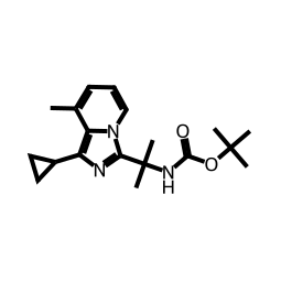 Cc1cccn2c(C(C)(C)NC(=O)OC(C)(C)C)nc(C3CC3)c12